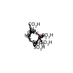 CC1(C)C2=[N+](CCCCCCC(=O)NCC(C(=O)NCCCCCC(=O)O)NC(=O)CCCCCC3(C)/C(=C/C=C/2)N(CCCS(=O)(=O)O)c2ccc(S(=O)(=O)O)cc23)c2ccc(S(=O)(=O)O)cc21